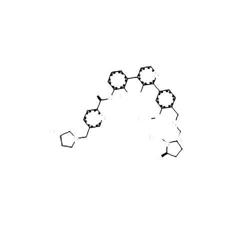 COc1cc(-c2nccc(-c3cccc(NC(=O)c4ccc(CN5CC[C@H](O)C5)cn4)c3C)c2Cl)ccc1CNC[C@H]1CCC(=O)N1C